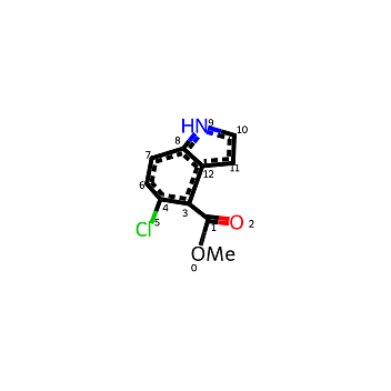 COC(=O)c1c(Cl)ccc2[nH]ccc12